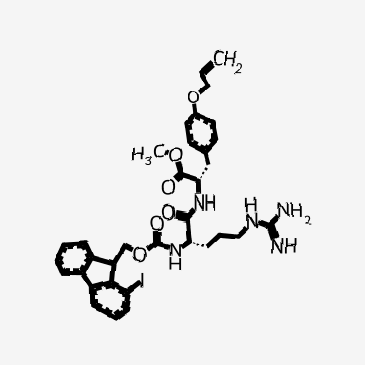 C=CCOc1ccc(C[C@H](NC(=O)[C@H](CCCNC(=N)N)NC(=O)OCC2c3ccccc3-c3cccc(I)c32)C(=O)OC)cc1